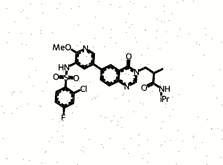 COc1ncc(-c2ccc3ncn(CC(C)C(=O)NC(C)C)c(=O)c3c2)cc1NS(=O)(=O)c1ccc(F)cc1Cl